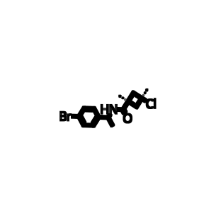 CC(NC(=O)[C@]1(C)C[C@](C)(Cl)C1)c1ccc(Br)cc1